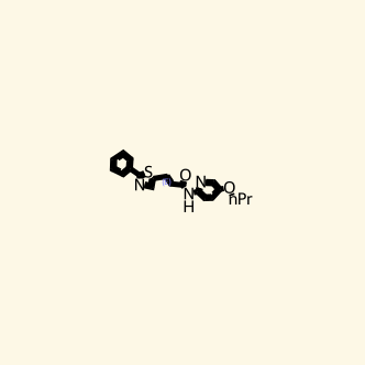 CCCOc1ccc(NC(=O)/C=C/c2cnc(-c3ccccc3)s2)nc1